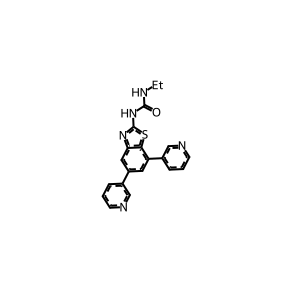 CCNC(=O)Nc1nc2cc(-c3cccnc3)cc(-c3cccnc3)c2s1